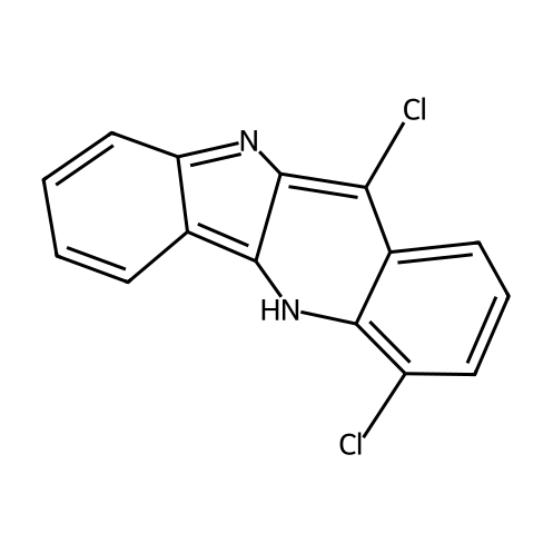 Clc1c2nc3ccccc3c-2[nH]c2c(Cl)cccc12